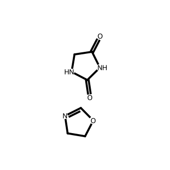 C1=NCCO1.O=C1CNC(=O)N1